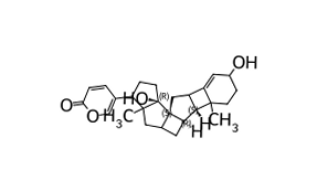 CC12CCC(O)C=C1C1C[C@]34C(C[C@@H]3[C@H]12)CC1(C)C(c2ccc(=O)oc2)CC[C@@]14O